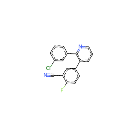 N#Cc1cc(-c2cccnc2-c2cccc(Cl)c2)ccc1F